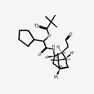 CC(C)(C)C(=O)OC(C(=O)N[C@H]1C[C@H]2C[C@@H]([C@@H]1CC=O)C2(C)C)C1CCCC1